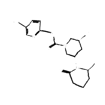 CC1CCCC(=O)N1[C@H]1C[C@H](F)CN(C(=O)Oc2ccc(Cl)cn2)C1